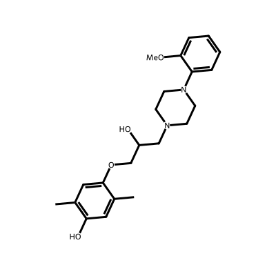 COc1ccccc1N1CCN(CC(O)COc2cc(C)c(O)cc2C)CC1